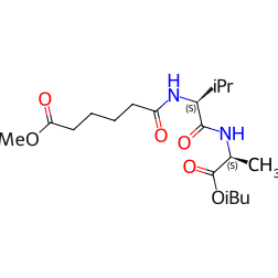 COC(=O)CCCCC(=O)N[C@H](C(=O)N[C@@H](C)C(=O)OCC(C)C)C(C)C